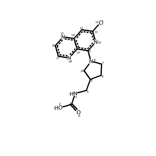 O=C(O)NCC1CCN(c2nc(Cl)cc3nccnc23)C1